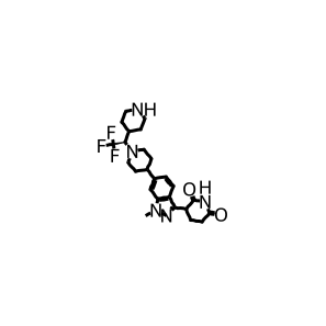 Cn1nc(C2CCC(=O)NC2=O)c2ccc(C3CCN([C@H](C4CCNCC4)C(F)(F)F)CC3)cc21